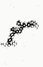 CC(C)(C)c1ccc(C2=Cc3c(n(-c4ccc[nH]4)c4cc5c(cc34)CCc3cc4c6cc(-c7ccc(C(C)(C)C)cc7)ccc6n(-c6cccnc6)c4cc3-5)CC2)cc1